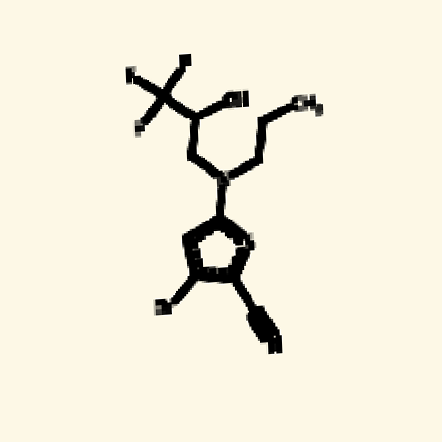 CCCN(CC(O)C(F)(F)F)c1cc(Br)c(C#N)s1